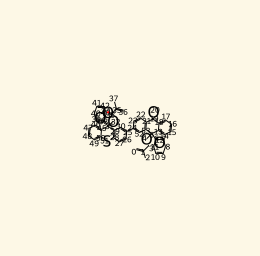 C=C(C)COC1(C2CC3C=CC2O3)c2ccccc2C(=O)c2ccc(-c3ccc4c(c3)C(OC(=O)C(=C)C)(C3CC5C=CC3O5)c3ccccc3S4)cc21